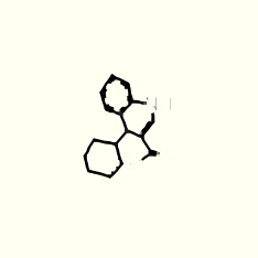 O=C(C1=CNc2ccccc2C1C1CCCCC1)C(F)(F)F